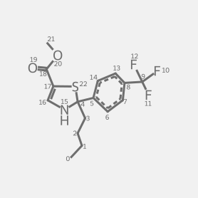 CCCCC1(c2ccc(C(F)(F)F)cc2)NC=C(C(=O)OC)S1